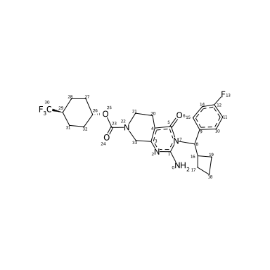 Nc1nc2c(c(=O)n1C(c1ccc(F)cc1)C1CCC1)CCN(C(=O)O[C@H]1CC[C@H](C(F)(F)F)CC1)C2